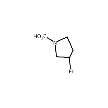 CCC1CCN(C(=O)O)C1